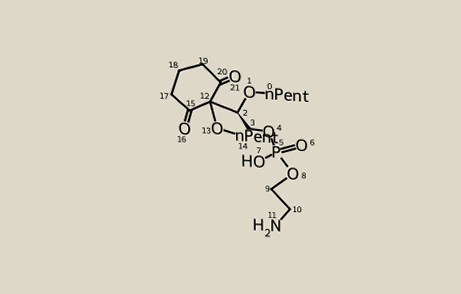 CCCCCO[C@@H](COP(=O)(O)OCCN)C1(OCCCCC)C(=O)CCCC1=O